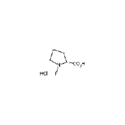 Cl.O=C(O)C1CCCN1F